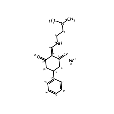 CN(C)CCNC=C1C(=O)CC(c2ccccc2)CC1=O.[Ni+2]